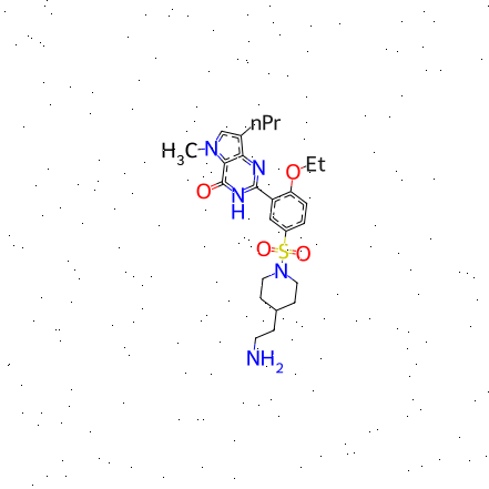 CCCc1cn(C)c2c(=O)[nH]c(-c3cc(S(=O)(=O)N4CCC(CCN)CC4)ccc3OCC)nc12